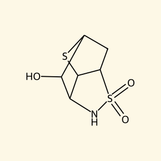 O=S1(=O)NC2C(O)C3CC1C2S3